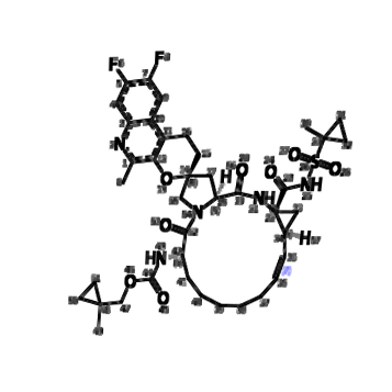 Cc1nc2cc(F)c(F)cc2c2c1O[C@]1(CC2)C[C@H]2C(=O)N[C@]3(C(=O)NS(=O)(=O)C4(C)CC4)C[C@H]3/C=C\CCCCC[C@H](NC(=O)OCC3(C)CC3)C(=O)N2C1